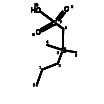 CCC[Si](C)(C)CS(=O)(=O)O